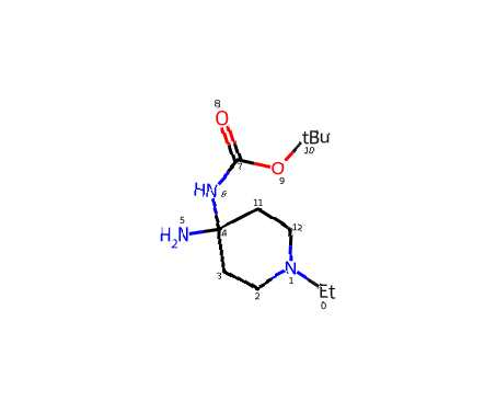 CCN1CCC(N)(NC(=O)OC(C)(C)C)CC1